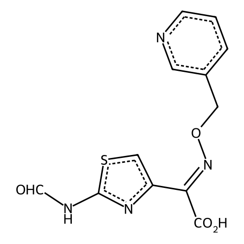 O=CNc1nc(C(=NOCc2cccnc2)C(=O)O)cs1